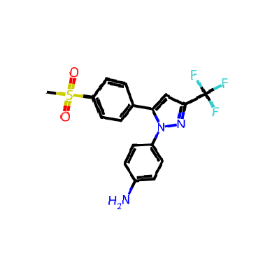 CS(=O)(=O)c1ccc(-c2cc(C(F)(F)F)nn2-c2ccc(N)cc2)cc1